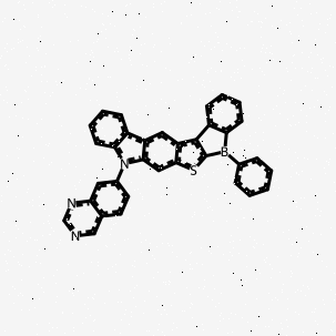 c1ccc(B2c3ccccc3-c3c2sc2cc4c(cc32)c2ccccc2n4-c2ccc3cncnc3c2)cc1